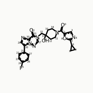 O=C(c1cnc(C2CC2)o1)N1CCC(O)(Cn2cnn3c(-c4ccc(F)cc4)cnc3c2=O)CC1